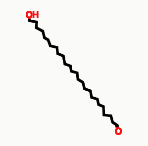 O=CCCCCCCCCCCCCCCCCCCCCCCCCCO